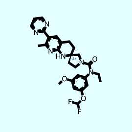 CCN(C(=O)N1CC[C@@]2(CCc3cc(-c4ncccn4)c(C)nc3N2)C1)c1cc(OC)cc(OC(F)F)c1